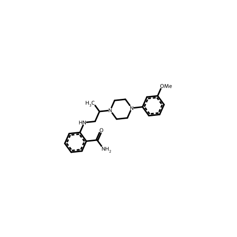 COc1cccc(N2CCN(C(C)CNc3ccccc3C(N)=O)CC2)c1